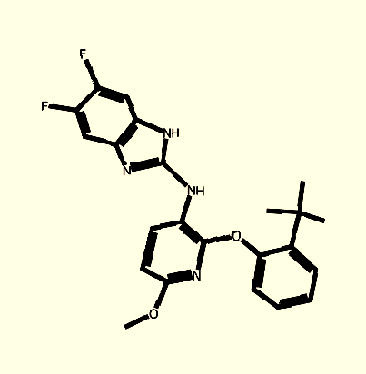 COc1ccc(Nc2nc3cc(F)c(F)cc3[nH]2)c(Oc2ccccc2C(C)(C)C)n1